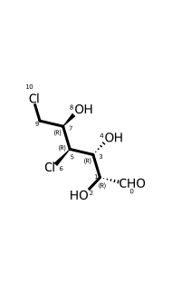 O=C[C@H](O)[C@@H](O)[C@@H](Cl)[C@H](O)CCl